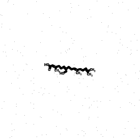 CC(C)=CCC/C(C)=C/CC/C(=C/CC/C(C)=C/C(=O)O)CO